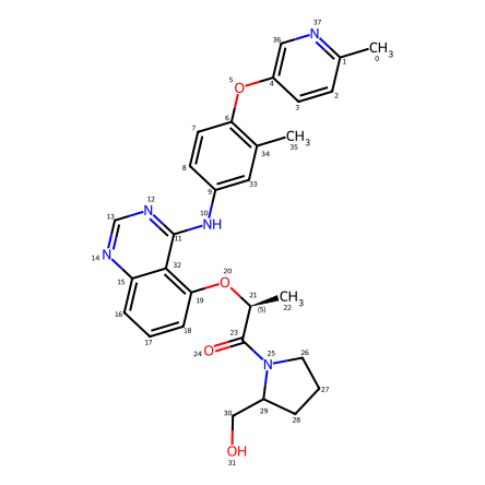 Cc1ccc(Oc2ccc(Nc3ncnc4cccc(O[C@@H](C)C(=O)N5CCCC5CO)c34)cc2C)cn1